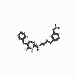 CN(C)Cc1cccc(CCCCNc2ncc(Cc3cccnc3)c(=O)[nH]2)c1